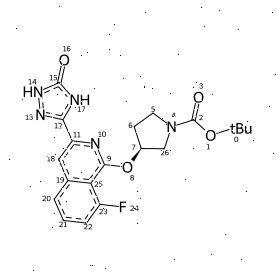 CC(C)(C)OC(=O)N1CC[C@H](Oc2nc(-c3n[nH]c(=O)[nH]3)cc3cccc(F)c23)C1